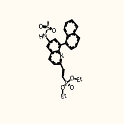 CCOP(=O)(/C=C/c1ccc2cc(NS(C)(=O)=O)cc(-c3cccc4ccccc34)c2n1)OCC